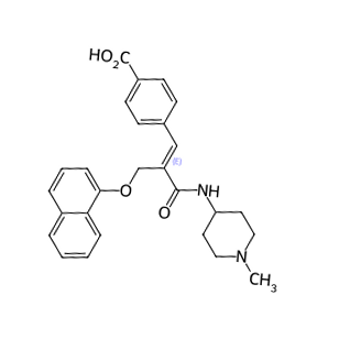 CN1CCC(NC(=O)/C(=C/c2ccc(C(=O)O)cc2)COc2cccc3ccccc23)CC1